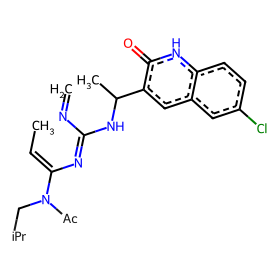 C=N/C(=N\C(=C/C)N(CC(C)C)C(C)=O)NC(C)c1cc2cc(Cl)ccc2[nH]c1=O